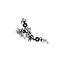 [2H]C([2H])([2H])n1cc(-c2nnc([C@]3(C=C)CCN(Cc4ccc(OC)cc4)C3=O)o2)c(Nc2ccc(C(F)(F)F)cc2)n1